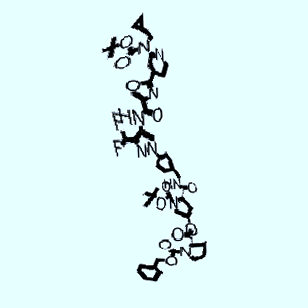 CC(C)(C)OC(=O)N(CC1CC1)c1cc(-c2nc(C(=O)Nc3cn(-c4ccc(CNC(=O)[C@@H]5C[C@@H](OC(=O)[C@@H]6CCCN6C(=O)OCc6ccccc6)CN5C(=O)OC(C)(C)C)cc4)nc3C(F)F)co2)ccn1